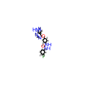 O=C(Nc1ccc(Oc2ncnc3[nH]ncc23)cc1)Nc1cccc(F)c1